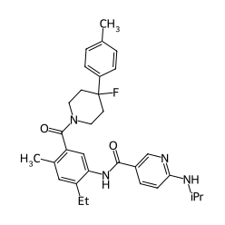 CCc1cc(C)c(C(=O)N2CCC(F)(c3ccc(C)cc3)CC2)cc1NC(=O)c1ccc(NC(C)C)nc1